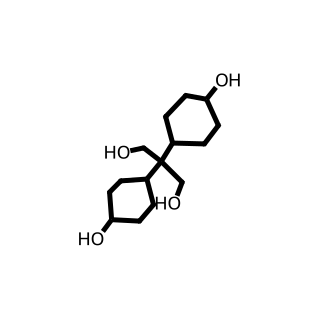 OCC(CO)(C1CCC(O)CC1)C1CCC(O)CC1